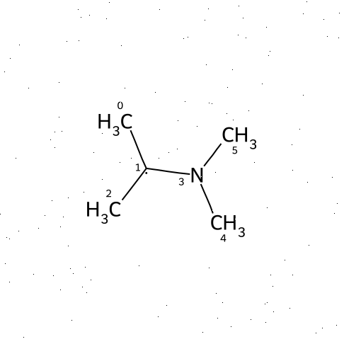 C[C](C)N(C)C